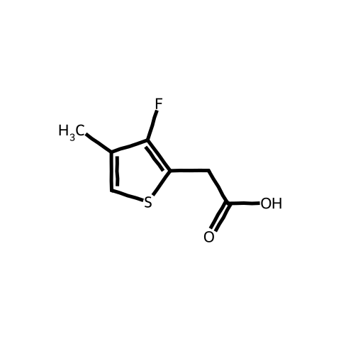 Cc1csc(CC(=O)O)c1F